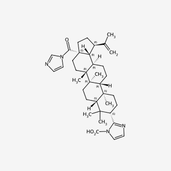 C=C(C)[C@@H]1CC[C@]2(C(=O)n3ccnc3)CC[C@]3(C)[C@H](CC[C@@H]4[C@@]5(C)CC[C@H](c6nccn6C(=O)O)C(C)(C)[C@@H]5CC[C@]43C)[C@@H]12